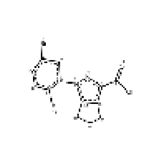 O=C(O)c1nn(-c2cc(Br)ccc2F)c2c1CCC2